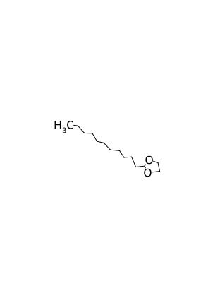 CCCCCCCCCCCC1OCCO1